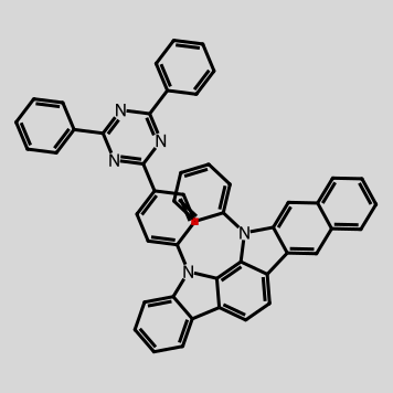 c1ccc(-c2nc(-c3ccccc3)nc(-c3ccc(-n4c5ccccc5c5ccc6c7cc8ccccc8cc7n(-c7ccccc7)c6c54)cc3)n2)cc1